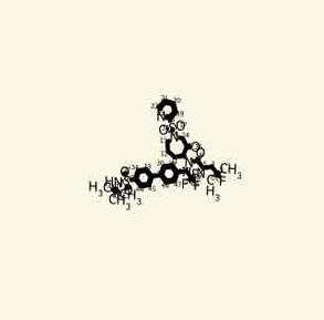 CC(C)(F)C[C@H](N)C(=O)N(C1CCCN(S(=O)(=O)c2ccccn2)CC1=O)[C@@H](c1ccc(-c2ccc(S(=O)(=O)NC(C)(C)C)cc2)cc1)C(F)(F)F